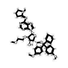 COCCO[C@@H]1[C@H](O)[C@@H](COC(c2ccccc2)(c2ccc(OC)cc2)c2ccc(OC)cc2)O[C@H]1n1cnc2c(N=C3CCCN3C)ncnc21